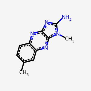 Cc1ccc2nc3nc(N)n(C)c3nc2c1